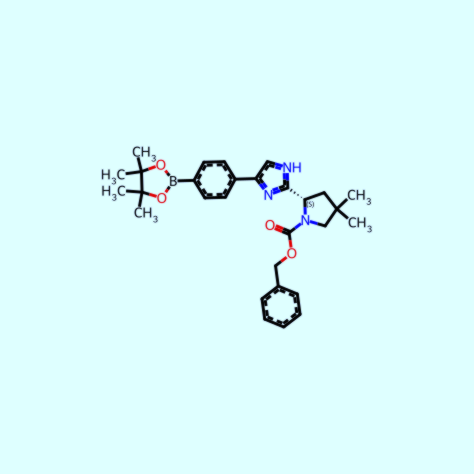 CC1(C)C[C@@H](c2nc(-c3ccc(B4OC(C)(C)C(C)(C)O4)cc3)c[nH]2)N(C(=O)OCc2ccccc2)C1